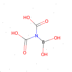 O=C(O)N(B(O)O)C(=O)O